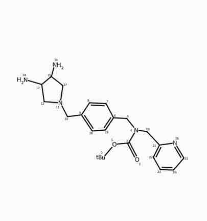 CC(C)(C)OC(=O)N(Cc1ccc(CN2CC(N)C(N)C2)cc1)Cc1ccccn1